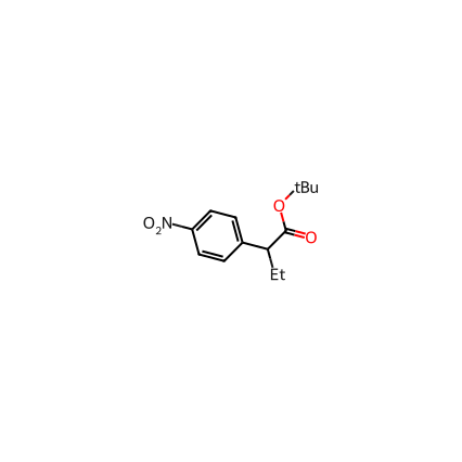 CCC(C(=O)OC(C)(C)C)c1ccc([N+](=O)[O-])cc1